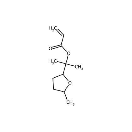 C=CC(=O)OC(C)(C)C1CCC(C)O1